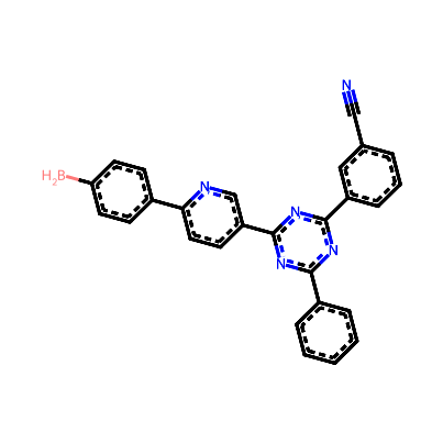 Bc1ccc(-c2ccc(-c3nc(-c4ccccc4)nc(-c4cccc(C#N)c4)n3)cn2)cc1